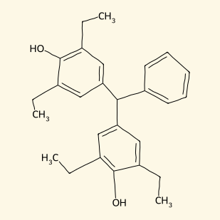 CCc1cc(C(c2ccccc2)c2cc(CC)c(O)c(CC)c2)cc(CC)c1O